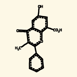 Cc1c(-c2ccccc2)oc2c(C(=O)O)cc(O)cc2c1=O